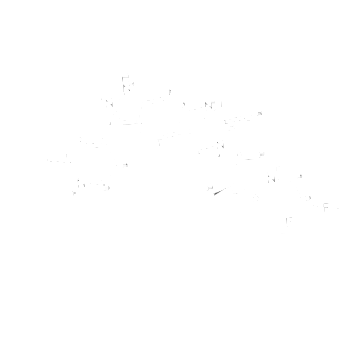 Cc1cc(-c2n[nH]c3cc4c(cc23)CN([C@@H]2CN(CC(F)F)C[C@H]2C)C(=O)N4)ccn1